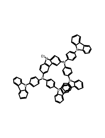 CCn1c2ccc(N(c3ccc(-n4c5ccccc5c5ccccc54)cc3)c3ccc(-n4c5ccccc5c5ccccc54)cc3)cc2c2cc(N(c3ccc(-n4c5ccccc5c5ccccc54)cc3)c3ccc(-n4c5ccccc5c5ccccc54)cc3)ccc21